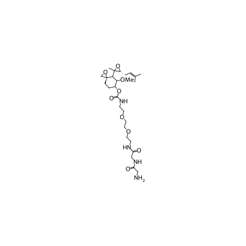 COC1C(OC(=O)NCCOCCOCCNC(=O)CNC(=O)CN)CC[C@]2(CO2)C1C1(C)O[C@@H]1CC=C(C)C